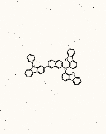 c1ccc(-n2c3ccccc3c3ccc(-c4ccc5ccc(N(c6cccc7c6oc6ccccc67)c6cccc7c6oc6ccccc67)cc5c4)cc32)cc1